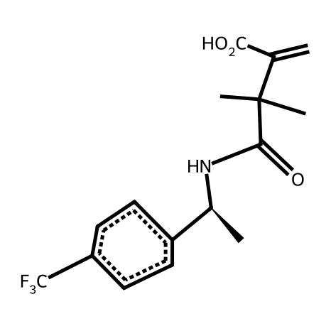 C=C(C(=O)O)C(C)(C)C(=O)N[C@@H](C)c1ccc(C(F)(F)F)cc1